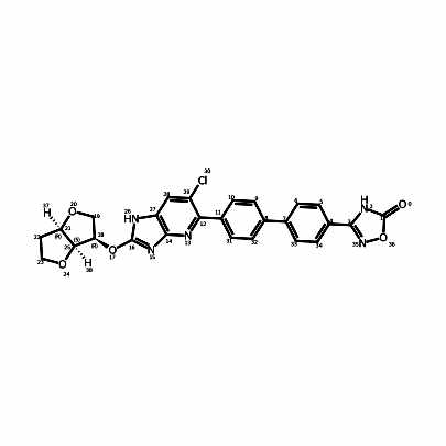 O=c1[nH]c(-c2ccc(-c3ccc(-c4nc5nc(O[C@@H]6CO[C@@H]7CCO[C@@H]76)[nH]c5cc4Cl)cc3)cc2)no1